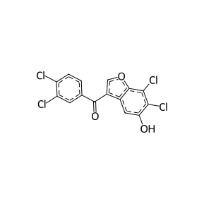 O=C(c1ccc(Cl)c(Cl)c1)c1coc2c(Cl)c(Cl)c(O)cc12